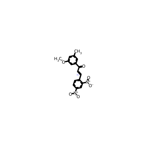 COc1cc(C)cc(C(=O)/C=C/c2ccc([N+](=O)[O-])cc2[N+](=O)[O-])c1